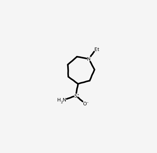 CCN1CCCC([S+](N)[O-])CC1